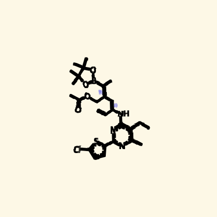 C=C/C(=C\C(COC(C)=O)=C(/C)B1OC(C)(C)C(C)(C)O1)Nc1nc(-c2ccc(Cl)s2)nc(C)c1CC